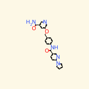 NC(=O)c1cncc(OCc2ccc(NC(=O)c3ccc(-n4cccc4)nc3)cc2)c1